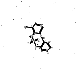 Nc1cnccc1NS(=O)(=O)Nc1cnccc1N